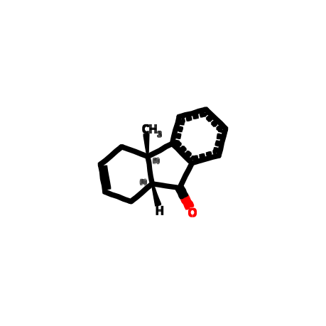 C[C@]12CC=CC[C@H]1C(=O)c1ccccc12